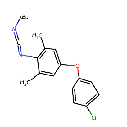 Cc1cc(Oc2ccc(Cl)cc2)cc(C)c1N=C=NC(C)(C)C